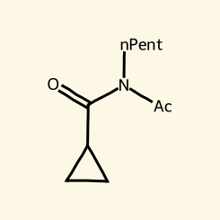 CCCCCN(C(C)=O)C(=O)C1CC1